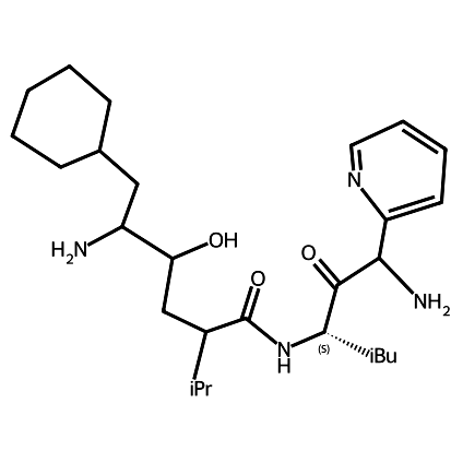 CCC(C)[C@H](NC(=O)C(CC(O)C(N)CC1CCCCC1)C(C)C)C(=O)C(N)c1ccccn1